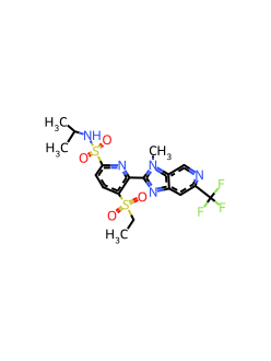 CCS(=O)(=O)c1ccc(S(=O)(=O)NC(C)C)nc1-c1nc2cc(C(F)(F)F)ncc2n1C